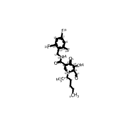 CCCC[C@H](C)n1cc(C(=O)NCc2c(F)cc(F)cc2F)c(=O)c(O)c1C=O